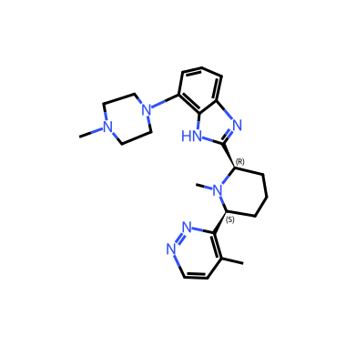 Cc1ccnnc1[C@@H]1CCC[C@H](c2nc3cccc(N4CCN(C)CC4)c3[nH]2)N1C